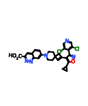 O=C(O)c1cc2ccc(N3CCC4(C=C(c5c(-c6c(Cl)cncc6Cl)noc5C5CC5)C4)CC3)cc2nn1